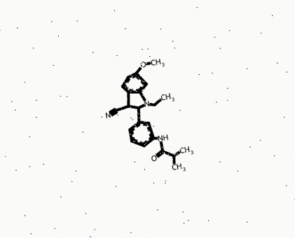 CCN1c2cc(OC)ccc2C(C#N)C1c1cccc(NC(=O)C(C)C)c1